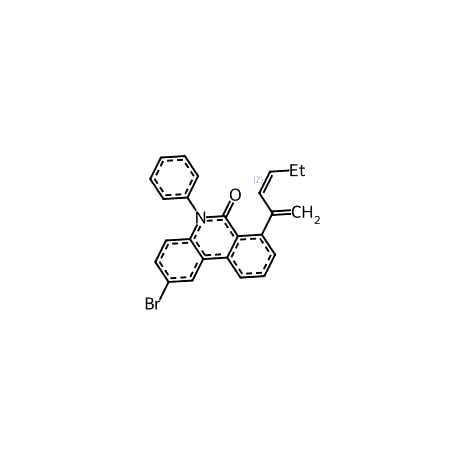 C=C(/C=C\CC)c1cccc2c1c(=O)n(-c1ccccc1)c1ccc(Br)cc21